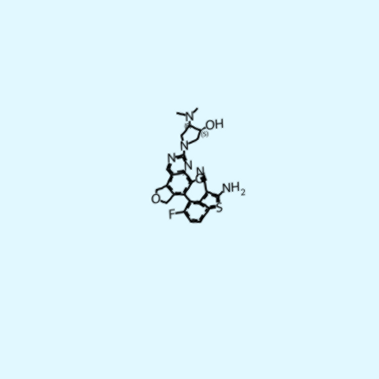 CN(C)[C@@H]1CN(c2ncc3c4c(c(-c5c(F)ccc6sc(N)c(C#N)c56)c(Cl)c3n2)COC4)C[C@@H]1O